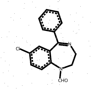 O=CN1CCN=C(c2ccccc2)c2cc(Cl)ccc21